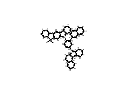 CC1(C)c2ccccc2-c2cc3c4ccccc4n(-c4ccc(-n5c6ccccc6c6c7ccccc7ccc65)cc4-c4ccc5ccccc5c4)c3cc21